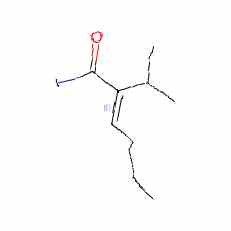 CCC/C=C(/C(=O)I)C(C)C